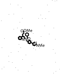 CNc1ccc(-c2ccc(CN(C(=O)C3CCCCC3)c3cc(/C=C/C(=O)OC)c4ccccc4n3)cc2)cn1